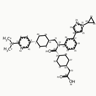 CN(C)c1ccc([C@H]2CC[C@H](CN(c3cccc(-c4cnn(C5CC5)c4)c3)C(=O)[C@H]3CC[C@H](CC(=O)O)CC3)CC2)cn1